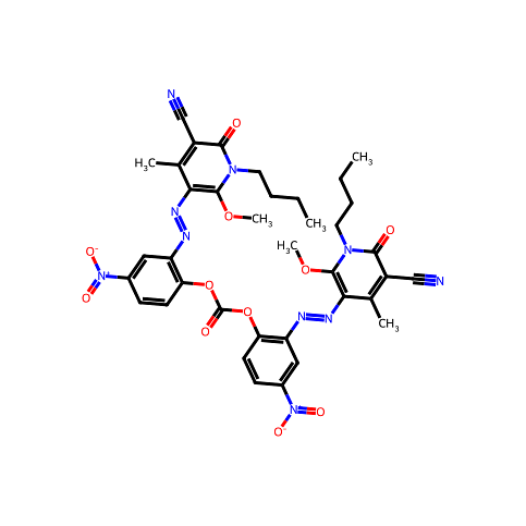 CCCCn1c(OC)c(/N=N/c2cc([N+](=O)[O-])ccc2OC(=O)Oc2ccc([N+](=O)[O-])cc2/N=N/c2c(C)c(C#N)c(=O)n(CCCC)c2OC)c(C)c(C#N)c1=O